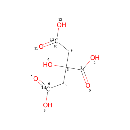 O=C(O)C(O)(C[13C](=O)O)C[13C](=O)O